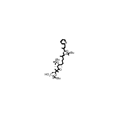 C/C(=C\C[C@H](O[Si](C)(C)C(C)(C)C)/C(C)=C/c1ccccn1)CCC[C@H](C)[C@H](O[Si](C)(C)C(C)(C)C)[C@@H](C)C(=O)C(C)(C)[C@H](CC(=O)O)O[Si](C)(C)C(C)(C)C